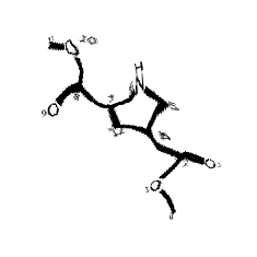 COC(=O)C1CNC(C(=O)OC)C1